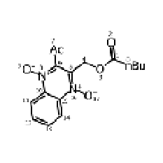 CCCCC(=O)OCc1c(C(C)=O)[n+]([O-])c2ccccc2[n+]1[O-]